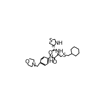 O=C(N[C@@H](CSCC1CCCCC1)C(=O)Nc1ccc(CN2CCOCC2)cc1)[C@@H]1CSCN1